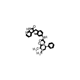 C[C@@H]1C(=O)N(CC(=O)Nc2ccc3c(c2)C[C@@]2(C3)C(=O)Nc3ncccc32)[C@@H](c2ccccc2)CN1C